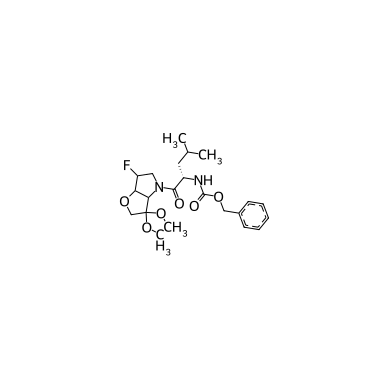 COC1(OC)COC2C(F)CN(C(=O)[C@H](CC(C)C)NC(=O)OCc3ccccc3)C21